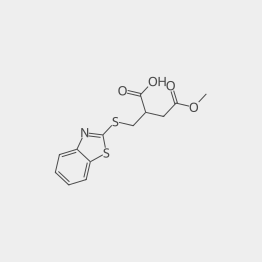 COC(=O)CC(CSc1nc2ccccc2s1)C(=O)O